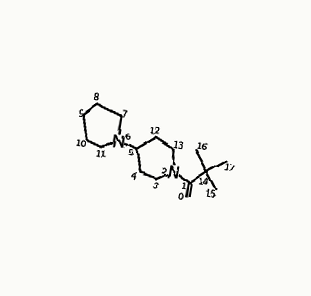 C=C(N1CCC(N2CCCCC2)CC1)C(C)(C)C